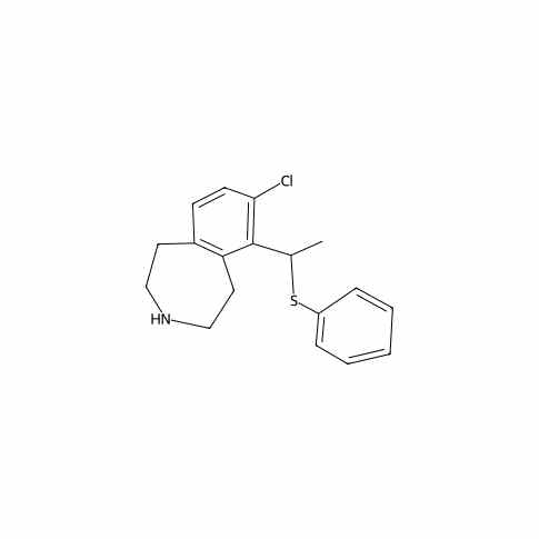 CC(Sc1ccccc1)c1c(Cl)ccc2c1CCNCC2